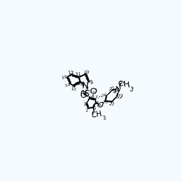 Cc1ccc(S(=O)(=O)n2ccc3ccccc32)cc1OC1CCN(C)CC1